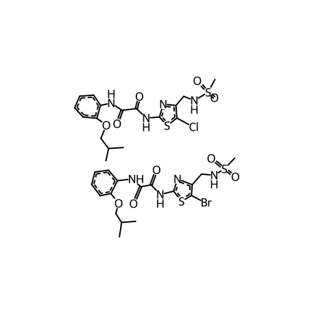 CC(C)COc1ccccc1NC(=O)C(=O)Nc1nc(CNS(C)(=O)=O)c(Br)s1.CC(C)COc1ccccc1NC(=O)C(=O)Nc1nc(CNS(C)(=O)=O)c(Cl)s1